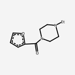 CCN1CCN(C(=O)c2ccco2)CC1